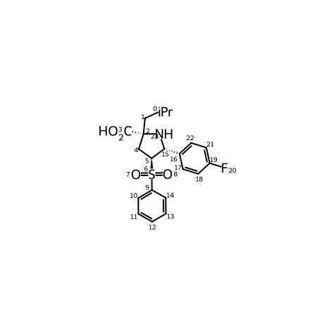 CC(C)C[C@]1(C(=O)O)C[C@H](S(=O)(=O)c2ccccc2)[C@@H](c2ccc(F)cc2)N1